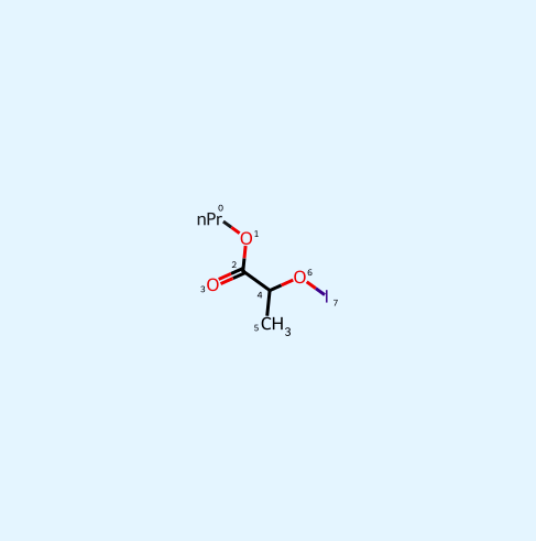 CCCOC(=O)C(C)OI